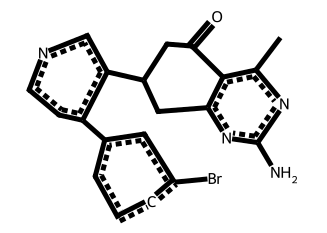 Cc1nc(N)nc2c1C(=O)CC(c1cnccc1-c1cccc(Br)c1)C2